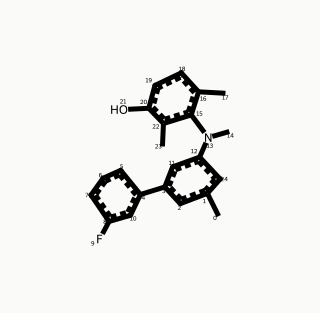 Cc1cc(-c2cccc(F)c2)cc(N(C)c2c(C)ccc(O)c2C)c1